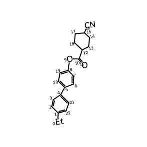 CCc1ccc(-c2ccc(OC(=O)C3CCC(C#N)CC3)cc2)cc1